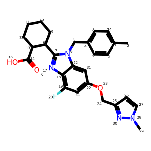 Cc1ccc(Cn2c(C3CCCCC3C(=O)O)nc3c(F)cc(OCc4ccn(C)n4)cc32)cc1